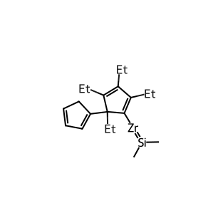 CCC1=C(CC)C(CC)(C2=CC=CC2)[C]([Zr]=[Si](C)C)=C1CC